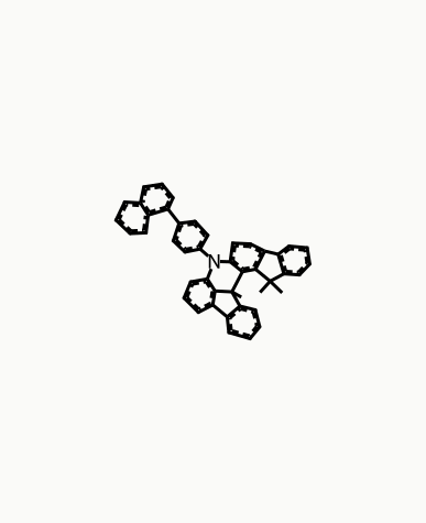 CC1(C)c2ccccc2-c2ccc3c(c21)C1(C)c2ccccc2-c2cccc(c21)N3c1ccc(-c2cccc3ccccc23)cc1